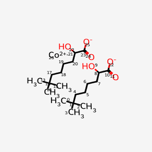 CC(C)(C)CCCCC(O)C(=O)[O-].CC(C)(C)CCCCC(O)C(=O)[O-].[Co+2]